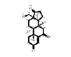 C[C@]12CCC(=O)C=C1C(=O)C[C@H]1[C@@H]3CCC(=O)[C@@]3(CO)CC[C@@H]12